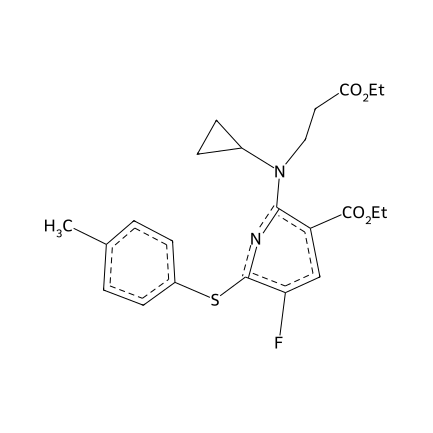 CCOC(=O)CCN(c1nc(Sc2ccc(C)cc2)c(F)cc1C(=O)OCC)C1CC1